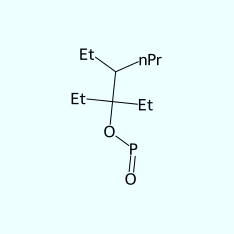 CCCC(CC)C(CC)(CC)OP=O